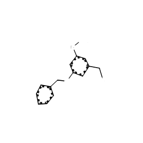 CNc1cc(CBr)cc(OCc2ccccc2)c1